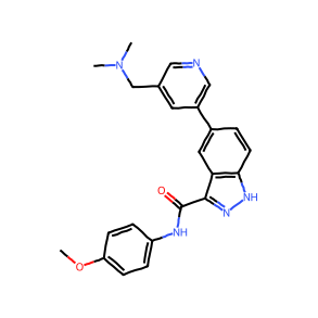 COc1ccc(NC(=O)c2n[nH]c3ccc(-c4cncc(CN(C)C)c4)cc23)cc1